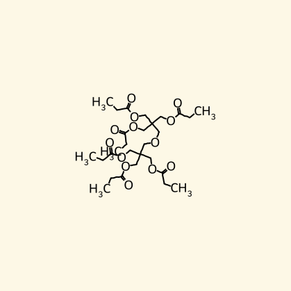 CCC(=O)OCC(COCC(COC(=O)CC)(COC(=O)CC)COC(=O)CC)(COC(=O)CC)COC(=O)CC